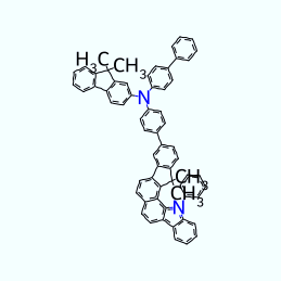 CC1(C)c2ccccc2-c2ccc(N(c3ccc(-c4ccccc4)cc3)c3ccc(-c4ccc5c(c4)-c4ccc6ccc7c8ccccc8n(-c8ccccc8)c7c6c4C5(C)C)cc3)cc21